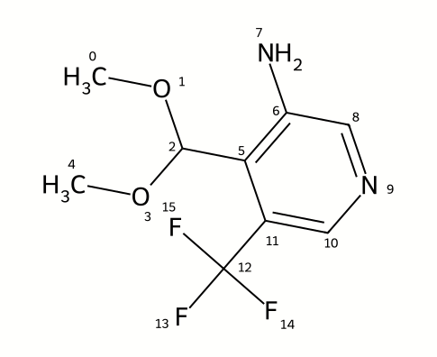 COC(OC)c1c(N)cncc1C(F)(F)F